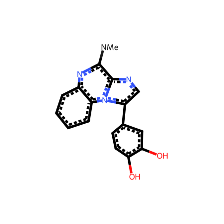 CNc1nc2ccccc2n2c(-c3ccc(O)c(O)c3)cnc12